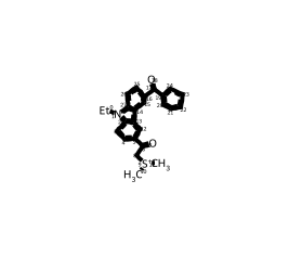 CCn1c2ccc(C(=O)C[S+](C)C)cc2c2cc(C(=O)c3ccccc3)ccc21